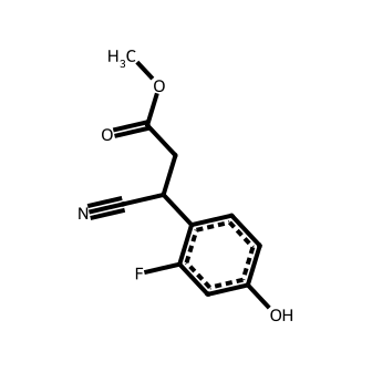 COC(=O)CC(C#N)c1ccc(O)cc1F